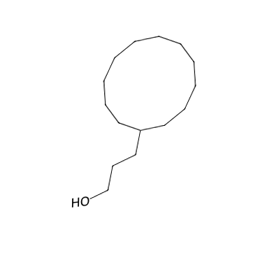 OCCCC1CCCCCCCCCCC1